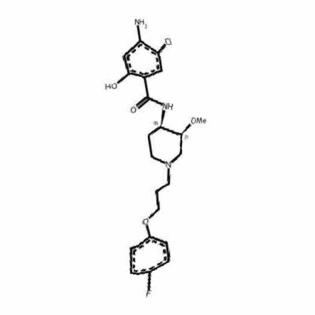 CO[C@H]1CN(CCCOc2ccc(F)cc2)CC[C@H]1NC(=O)c1cc(Cl)c(N)cc1O